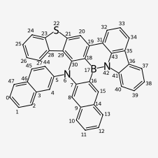 c1ccc2cc(N3c4cc5ccccc5cc4B4c5c(cc6sc7ccccc7c6c53)-c3cccc5c6ccccc6n4c35)ccc2c1